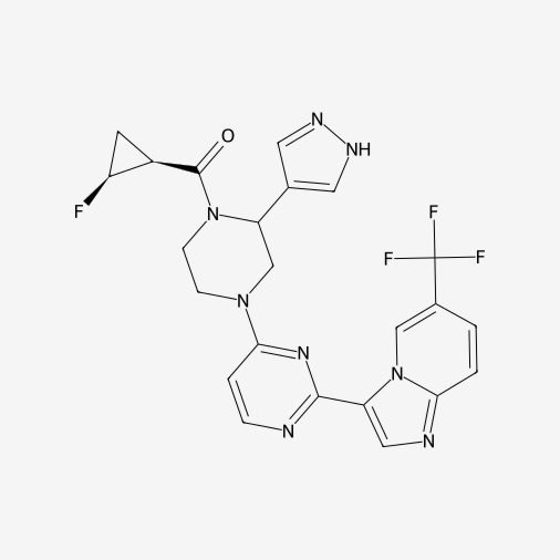 O=C([C@@H]1C[C@@H]1F)N1CCN(c2ccnc(-c3cnc4ccc(C(F)(F)F)cn34)n2)CC1c1cn[nH]c1